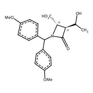 COc1ccc(C(c2ccc(OC)cc2)N2C(=O)[C@H](C(C)O)[C@H]2C(=O)O)cc1